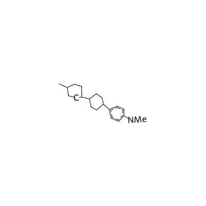 CNc1ccc(C2CCC(C3CCC(C)CC3)CC2)cc1